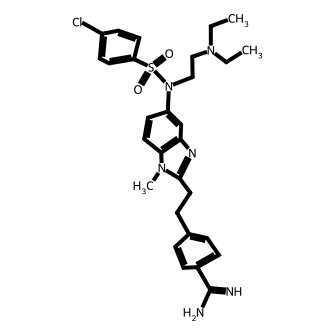 CCN(CC)CCN(c1ccc2c(c1)nc(CCc1ccc(C(=N)N)cc1)n2C)S(=O)(=O)c1ccc(Cl)cc1